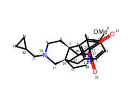 COc1ccc2c(c1)[C@@]13CCN(CC4CC4)C[C@]1(CC[C@@]1(C3)NC(=O)NC1=O)C2